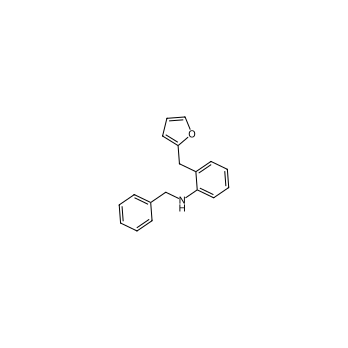 c1ccc(CNc2ccccc2Cc2ccco2)cc1